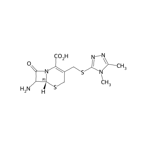 Cc1nnc(SCC2=C(C(=O)O)N3C(=O)C(N)[C@H]3SC2)n1C